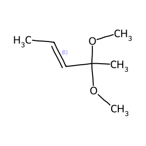 C/C=C/C(C)(OC)OC